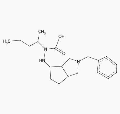 CCCC(C)N(NC1CCC2CN(Cc3ccccc3)CC21)C(=O)O